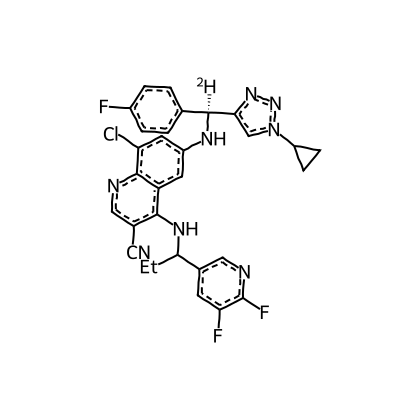 [2H][C@](Nc1cc(Cl)c2ncc(C#N)c(NC(CC)c3cnc(F)c(F)c3)c2c1)(c1ccc(F)cc1)c1cn(C2CC2)nn1